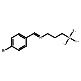 CC[Si](CC)(CC)CCCN=Cc1ccc(Br)cc1